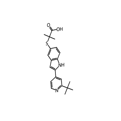 CC(C)(Sc1ccc2[nH]c(-c3ccnc(C(C)(C)C)c3)cc2c1)C(=O)O